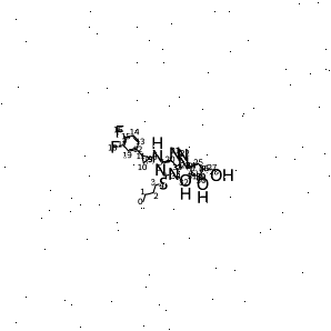 CCCCSc1nc(N[C@H]2CC2c2ccc(F)c(F)c2)c2nnn([C@@H]3C[C@H](CO)[C@@H](O)[C@H]3O)c2n1